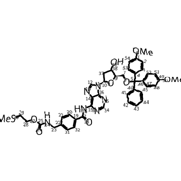 COc1ccc(C(OC[C@H]2O[C@@H](n3cnc4c(NC(=O)c5ccc(CNC(=O)OCCSC)cc5)ncnc43)CC2O)(c2ccccc2)c2ccc(OC)cc2)cc1